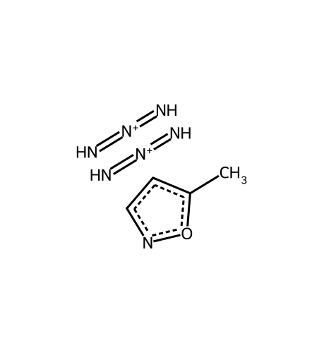 Cc1ccno1.N=[N+]=N.N=[N+]=N